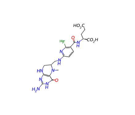 CN1c2c(nc(N)[nH]c2=O)NCC1CNc1ccc(C(=O)N[C@@H](CCC(=O)O)C(=O)O)c([18F])n1